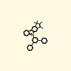 CC1=C(C)C(C)(C)c2cc3c4ccccc4n(-c4cc(-c5ccccc5)cc(-c5ccccc5)c4)c3cc21